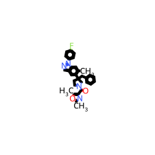 Cc1nc(C(=O)N2CCC(Cc3ccccc3)(c3cc4cnn(-c5ccc(F)cc5)c4cc3C)C2)c(C)o1